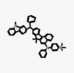 Cn1c2ccccc2c2ccc(C(c3ccccc3)c3ccc4c(c3)C(C)(C)c3cc(N(c5ccccc5)c5ccc([Si](C)(C)C)cc5)c5ccccc5c3-4)cc21